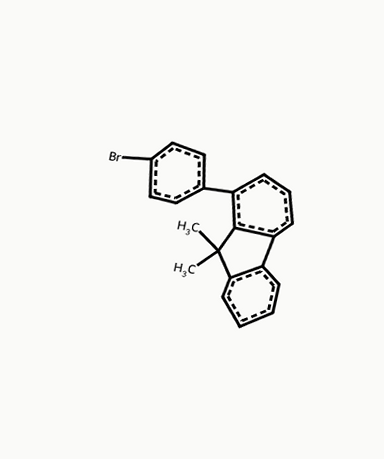 CC1(C)c2ccccc2-c2cccc(-c3ccc(Br)cc3)c21